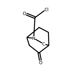 O=C1CC2CCC1CN2C(=O)Cl